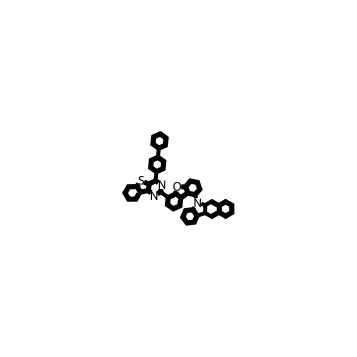 C1=c2ccccc2=CC2C1c1ccccc1N2c1cccc2oc3c(-c4nc(-c5ccc(-c6ccccc6)cc5)c5sc6ccccc6c5n4)cccc3c12